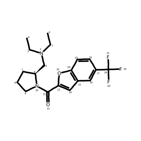 CCN(CC)C[C@@H]1CCCN1C(=O)c1cc2cc(C(F)(F)F)ccc2o1